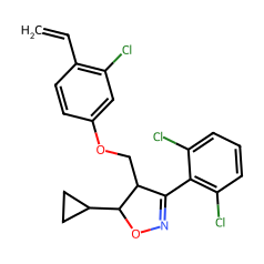 C=Cc1ccc(OCC2C(c3c(Cl)cccc3Cl)=NOC2C2CC2)cc1Cl